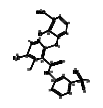 COc1cccc(Oc2nnc(C(F)(F)F)c(C)c2C(=O)Nc2cccc(S(C)(=N)=O)c2)c1Cl